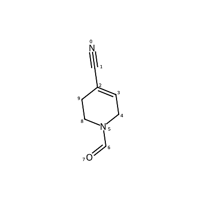 N#CC1=CCN(C=O)CC1